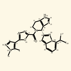 Cc1c(-c2nnc(C(=O)N3CCc4[nH]cnc4[C@@H]3c3cc4cccc(C(I)I)n4n3)o2)cnn1C